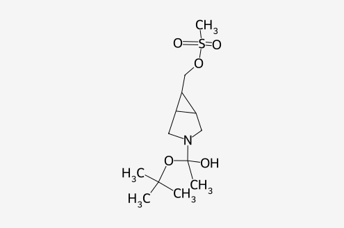 CC(C)(C)OC(C)(O)N1CC2C(COS(C)(=O)=O)C2C1